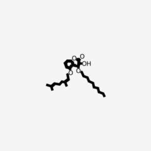 CCCCCCCCCCOc1c(O)c(=O)oc2cccc(OCC=C(C)CCC=C(C)C)c12